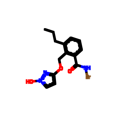 CCCc1cccc(C(=O)NBr)c1COc1ccn(O)n1